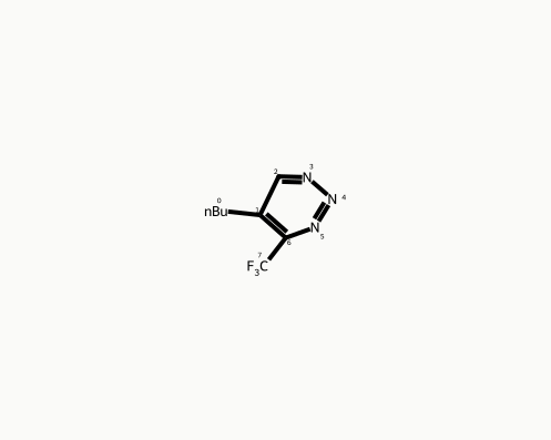 CCCCc1cnnnc1C(F)(F)F